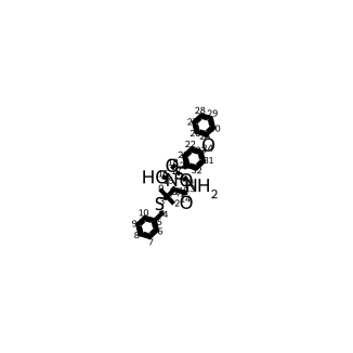 CC(C)(SCc1ccccc1)[C@H](C(N)=O)N(O)S(=O)(=O)c1ccc(Oc2ccccc2)cc1